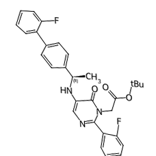 C[C@@H](Nc1cnc(-c2ccccc2F)n(CC(=O)OC(C)(C)C)c1=O)c1ccc(-c2ccccc2F)cc1